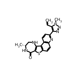 C=Cc1c(-c2ccc3c(ccc4sc5c(c43)NC[C@@H](C)NC5=O)n2)nnn1C